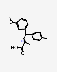 COc1cccc(C(/C=C(\C)C(=O)O)c2ccc(C)cc2)c1